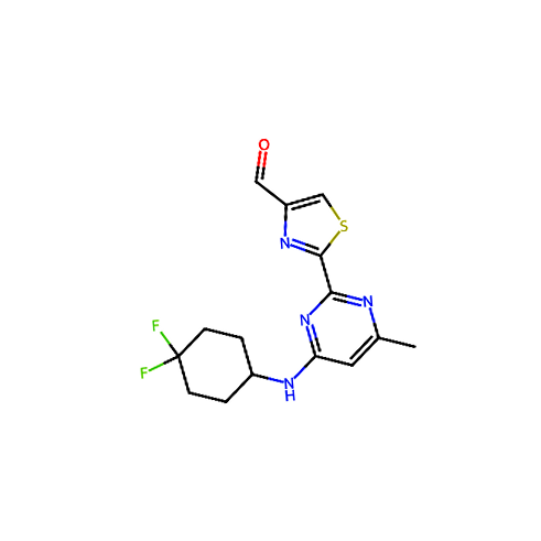 Cc1cc(NC2CCC(F)(F)CC2)nc(-c2nc(C=O)cs2)n1